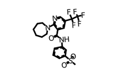 CS(=O)(=O)c1cccc(NC(=O)c2cc(C(F)(F)C(F)(F)F)cnc2N2CCCCCC2)c1